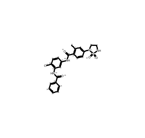 Cc1cc(N2CCNS2(=O)=O)ccc1C(=O)Nc1ccc(Cl)c(NC(=O)c2ccccc2)c1